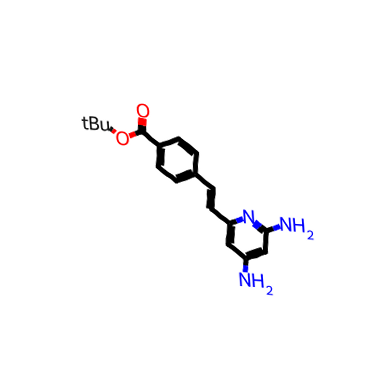 CC(C)(C)OC(=O)c1ccc(C=Cc2cc(N)cc(N)n2)cc1